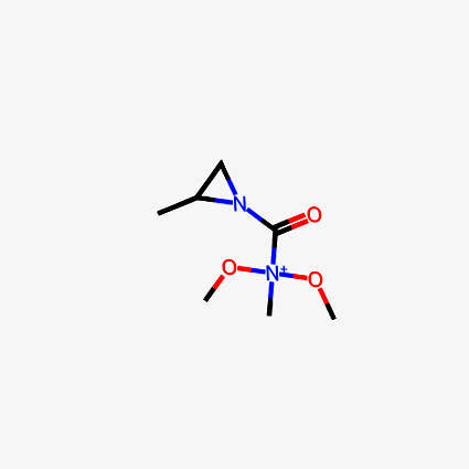 CO[N+](C)(OC)C(=O)N1CC1C